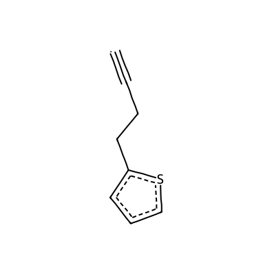 [C]#CCCc1cccs1